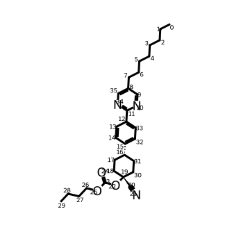 CCCCCCCCc1cnc(-c2ccc([C@H]3CC[C@@](C#N)(OC(=O)OCCCC)CC3)cc2)nc1